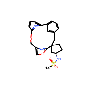 CS(=O)(=O)N[C@H]1CC[C@@]2(Cc3cccc(c3)-c3cccc(n3)OCc3coc2n3)C1